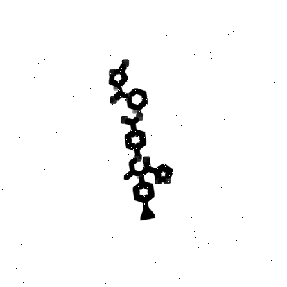 CC(COc1ccc(C(=O)O[C@H]2CCCN(C(=O)[C@H]3COC(=O)C3)C2)cc1)N(C(=O)c1ccon1)c1ccc(C2CC2)cc1